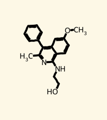 COc1ccc2c(NCCO)nc(C)c(-c3ccccc3)c2c1